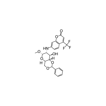 CO[C@H]1O[C@@H]2COC(c3ccccc3)O[C@H]2[C@H](O)[C@H]1Nc1ccc2c(C(F)(F)F)cc(=O)oc2c1